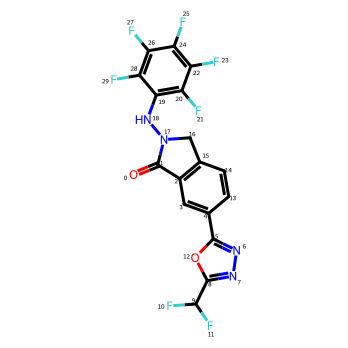 O=C1c2cc(-c3nnc(C(F)F)o3)ccc2CN1Nc1c(F)c(F)c(F)c(F)c1F